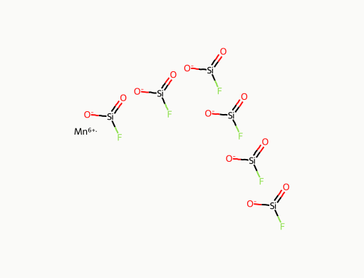 O=[Si]([O-])F.O=[Si]([O-])F.O=[Si]([O-])F.O=[Si]([O-])F.O=[Si]([O-])F.O=[Si]([O-])F.[Mn+6]